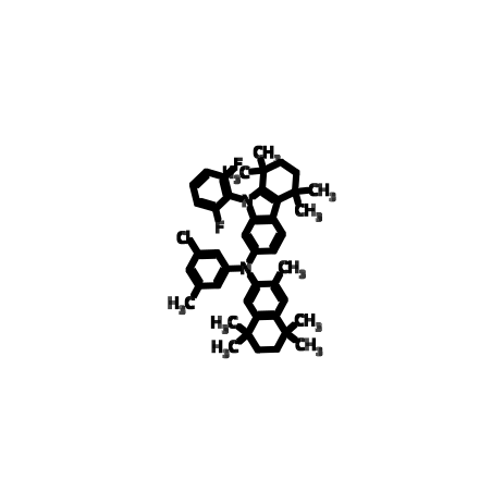 Cc1cc(Cl)cc(N(c2ccc3c4c(n(-c5c(F)cccc5F)c3c2)C(C)(C)CCC4(C)C)c2cc3c(cc2C)C(C)(C)CCC3(C)C)c1